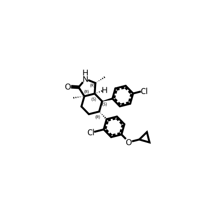 C[C@H]1NC(=O)[C@]2(C)CC[C@@H](c3ccc(OC4CC4)cc3Cl)[C@H](c3ccc(Cl)cc3)[C@H]12